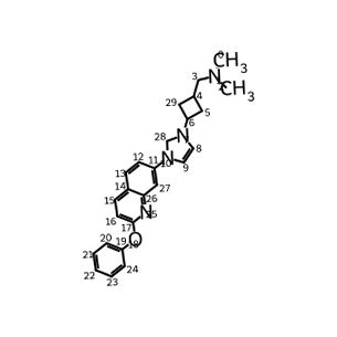 CN(C)CC1CC(N2C=CN(c3ccc4ccc(Oc5ccccc5)nc4c3)C2)C1